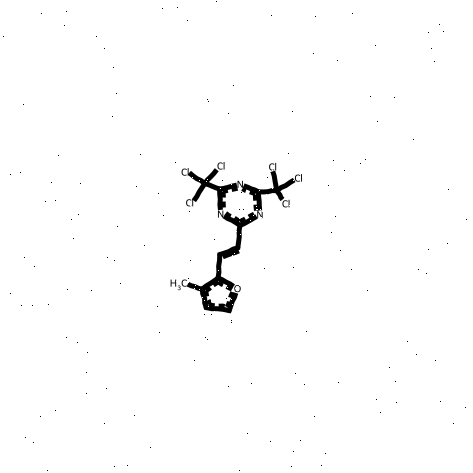 Cc1ccoc1C=Cc1nc(C(Cl)(Cl)Cl)nc(C(Cl)(Cl)Cl)n1